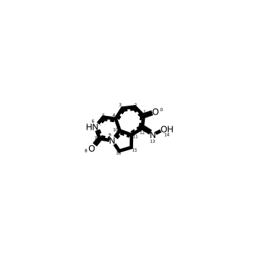 O=c1ccc2c[nH]c(=O)n3c-2c(c1=NO)CC3